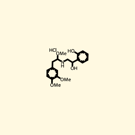 COc1ccc(CC(NCC(O)c2ccccc2O)OC)cc1OC.Cl